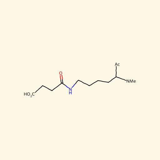 CNC(CCCCNC(=O)CCC(=O)O)C(C)=O